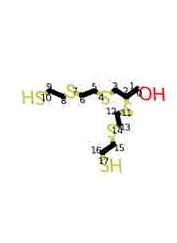 OCC(CSCCSCCS)SCCSCCS